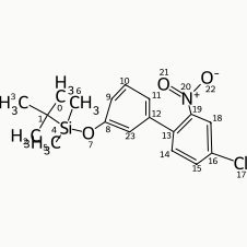 CC(C)(C)[Si](C)(C)Oc1cccc(-c2ccc(Cl)cc2[N+](=O)[O-])c1